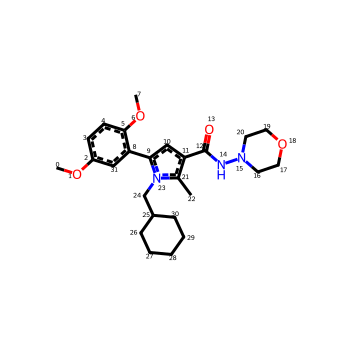 COc1ccc(OC)c(-c2cc(C(=O)NN3CCOCC3)c(C)n2CC2CCCCC2)c1